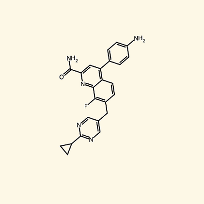 NC(=O)c1cc(-c2ccc(N)cc2)c2ccc(Cc3cnc(C4CC4)nc3)c(F)c2n1